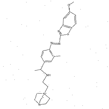 COc1ccc2sc(N=Nc3ccc(C(C)NCC[N+]45CCN(CC4)CC5)cc3C)nc2c1